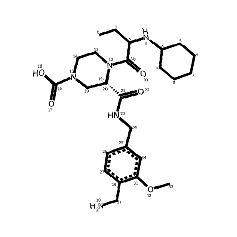 CCC(NC1CCCCC1)C(=O)N1CCN(C(=O)O)C[C@H]1C(=O)NCc1ccc(CN)c(OC)c1